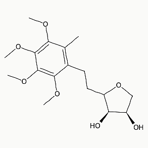 COc1c(C)c(CCC2OC[C@@H](O)[C@H]2O)c(OC)c(OC)c1OC